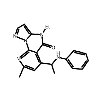 CCn1c(=O)c2c(C(C)Nc3ccccc3)cc(C)nc2n2nccc12